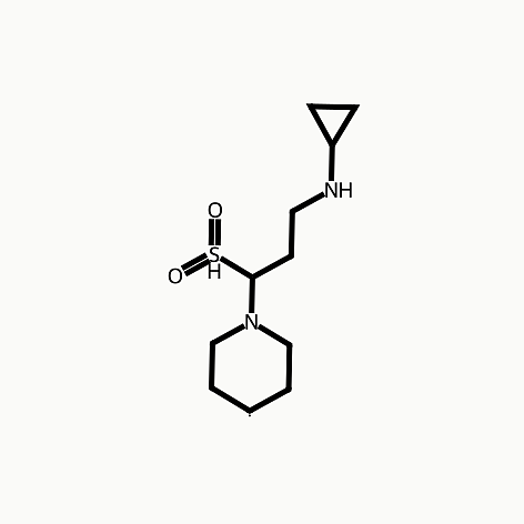 O=[SH](=O)C(CCNC1CC1)N1CC[CH]CC1